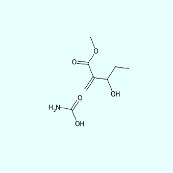 C=C(C(=O)OC)C(O)CC.NC(=O)O